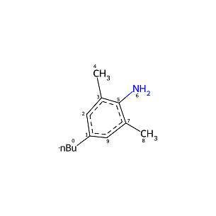 CCC[CH]c1cc(C)c(N)c(C)c1